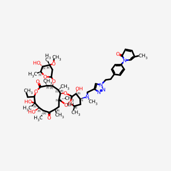 CCC1OC(=O)[C@H](C)[C@H](OC2C[C@@](C)(OC)[C@@H](O)[C@H](C)O2)[C@H](C)[C@@H](OC2O[C@H](C)C[C@H](N(C)Cc3cn(CCc4ccc(-n5cc(C)ccc5=O)cc4)nn3)[C@H]2O)[C@@](C)(OC)C[C@@H](C)C(=O)[C@H](C)[C@@H](O)[C@]1(C)O